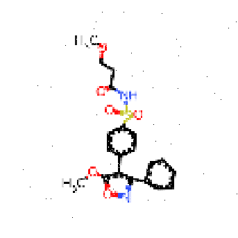 COCCC(=O)NS(=O)(=O)c1ccc(-c2c(-c3ccccc3)noc2OC)cc1